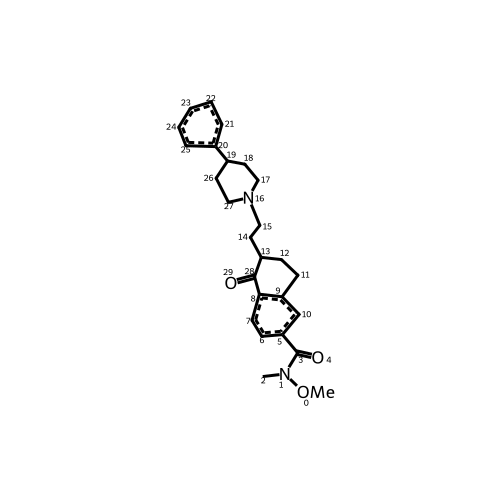 CON(C)C(=O)c1ccc2c(c1)CCC(CCN1CCC(c3ccccc3)CC1)C2=O